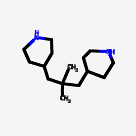 CC(C)(CC1CCNCC1)CC1CCNCC1